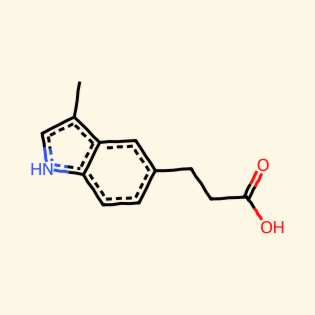 Cc1c[nH]c2ccc(CCC(=O)O)cc12